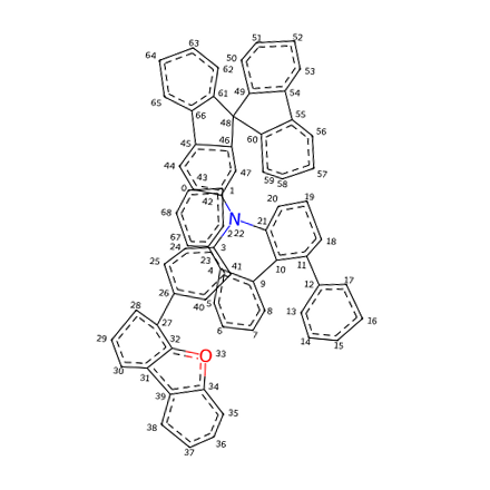 c1ccc(-c2ccccc2-c2c(-c3ccccc3)cccc2N(c2ccc(-c3cccc4c3oc3ccccc34)cc2)c2ccc3c(c2)C2(c4ccccc4-c4ccccc42)c2ccccc2-3)cc1